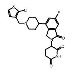 O=C1CCC(N2Cc3c(cc(F)cc3C3CCN(Cc4ccsc4Cl)CC3)C2=O)C(=O)N1